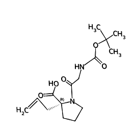 C=CC[C@@]1(C(=O)O)CCCN1C(=O)CNC(=O)OC(C)(C)C